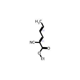 C/C=C/C=C(\C#N)C(=O)OCC